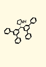 c1ccc(-c2cc(-c3ccccc3)cc(C(c3cc(-c4ccccc4)cc(-c4ccccc4)c3)[C@@H]3CCCN3)c2)cc1